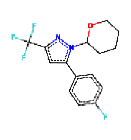 Fc1ccc(-c2cc(C(F)(F)F)nn2C2CCCCO2)cc1